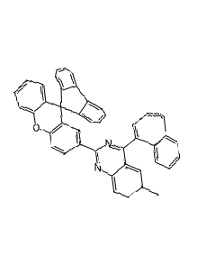 CC1C=c2c(-c3cccc4ccccc34)nc(-c3ccc4c(c3)C3(c5ccccc5O4)c4ccccc4-c4ccccc43)nc2=CC1